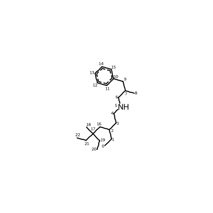 CCC(CCNCC(C)Cc1ccccc1)CC(C)(CC)CC